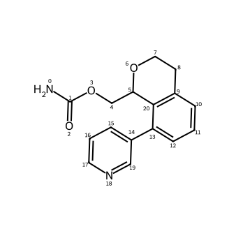 NC(=O)OCC1OCCc2cccc(-c3cccnc3)c21